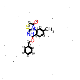 Cc1ccc(COCc2ccccc2)c(N2C(=N)SCC2=O)c1